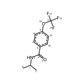 CC(C)NC(=O)c1ccc(OC(F)(F)F)cc1